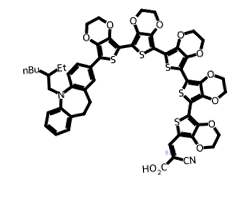 CCCCC(CC)CN1c2ccccc2CCc2cc(-c3sc(-c4sc(-c5sc(-c6sc(-c7sc(/C=C(\C#N)C(=O)O)c8c7OCCO8)c7c6OCCO7)c6c5OCCO6)c5c4OCCO5)c4c3OCCO4)ccc21